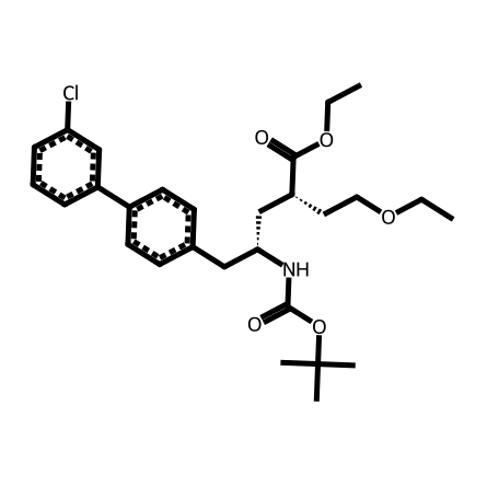 CCOCC[C@H](C[C@@H](Cc1ccc(-c2cccc(Cl)c2)cc1)NC(=O)OC(C)(C)C)C(=O)OCC